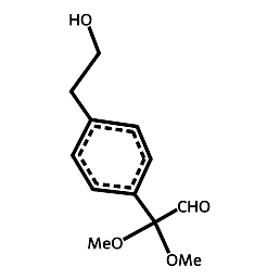 COC(C=O)(OC)c1ccc(CCO)cc1